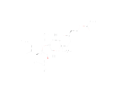 COC12CC[C@H](CCOC(=O)C(C)(C)C)O[C@@H]1[C@@H](OC(C)=O)[C@@H]1O[C@H](CC(C)COC(C)=O)[C@H](O[SiH](C(C)C)C(C)C)[C@@H]1O2